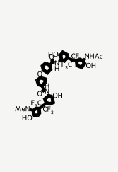 CNc1cc(C(c2ccc(O)c(NC(=O)c3ccc(Oc4ccc(C(=O)Nc5cc(C(c6ccc(O)c(NC(C)=O)c6)(C(F)(F)F)C(F)(F)F)ccc5O)cc4)cc3)c2)(C(F)(F)F)C(F)(F)F)ccc1O